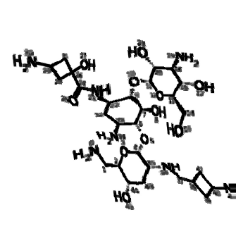 NC[C@H]1O[C@H](O[C@H]2[C@H](O)[C@@H](O[C@H]3O[C@H](CO)[C@@H](O)[C@H](N)[C@H]3O)[C@H](NC(=O)C3(O)CC(N)C3)C[C@@H]2N)[C@H](NCC2CC(N)C2)C[C@@H]1O